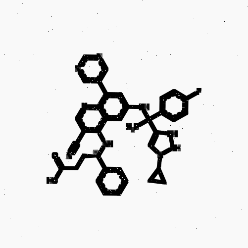 BC(Nc1cc(-c2cncnc2)c2ncc(C#N)c(N[C@H](CCC(=O)O)c3ccccc3)c2c1)(C1=CN(C2CC2)NN1)c1ccc(F)cc1